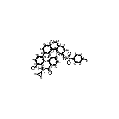 Cc1ccc(S(=O)(=O)N=c2ccc3cnc4ccc(-c5ccc(Cl)cc5)cc4c3n2-c2ccc(C(=O)NC3CC3)cc2)cc1